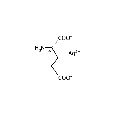 N[C@@H](CCC(=O)[O-])C(=O)[O-].[Ag+2]